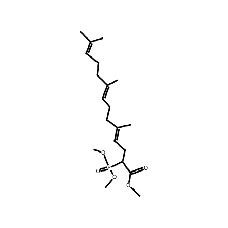 COC(=O)C(C/C=C(\C)CC/C=C(\C)CCC=C(C)C)P(=O)(OC)OC